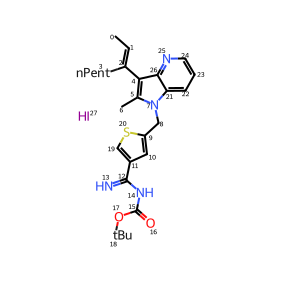 CC=C(CCCCC)c1c(C)n(Cc2cc(C(=N)NC(=O)OC(C)(C)C)cs2)c2cccnc12.I